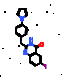 O=c1[nH]c(Cc2ccc(-n3cccc3)cc2)nc2ccc(I)cc12